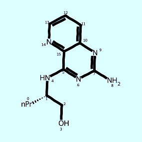 CCC[C@@H](CO)Nc1nc(N)nc2cccnc12